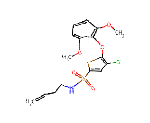 C=CCCNS(=O)(=O)c1cc(Cl)c(Oc2c(OC)cccc2OC)s1